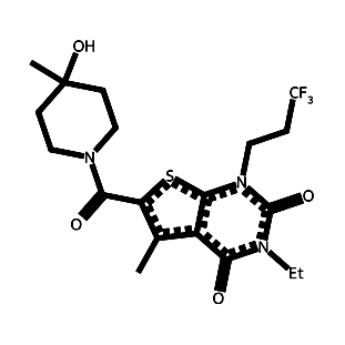 CCn1c(=O)c2c(C)c(C(=O)N3CCC(C)(O)CC3)sc2n(CCC(F)(F)F)c1=O